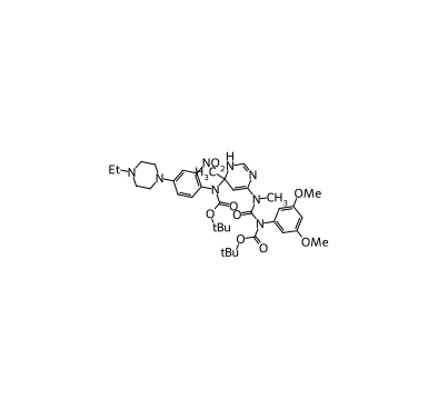 CCN1CCN(c2ccc(N(C(=O)OC(C)(C)C)C3(C)C=C(N(C)C(=O)N(C(=O)OC(C)(C)C)c4cc(OC)cc(OC)c4)N=CN3)c([N+](=O)[O-])c2)CC1